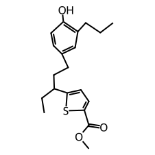 CCCc1cc(CCC(CC)c2ccc(C(=O)OC)s2)ccc1O